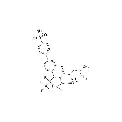 CC(C)C[C@H](N)C(=O)N([C@@H](c1ccc(-c2ccc(S(N)(=O)=O)cc2)cc1)C(F)(F)C(F)(F)F)C1(C#N)CC1